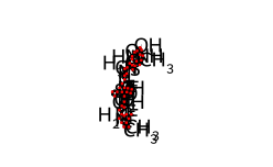 C=C(CCC1=C(CN2CCN(c3ccc(C(=O)NS(=O)(=O)c4ccc(N[C@H](CCN5CC6(C5)CN(C(=O)CCCCC(=O)NCC(=O)C5C[C@H](O)C[C@H]5C(=O)N[C@@H](C)c5ccc(-c7scnc7C)cc5)C6)CSc5ccccc5)c(S(=O)(=O)C(F)(F)F)c4)cc3)CC2)CCC(C)(C)C1)C(F)F